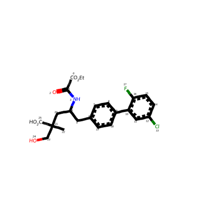 CCOC(=O)C(=O)NC(Cc1ccc(-c2cc(Cl)ccc2F)cc1)CC(C)(CO)C(=O)O